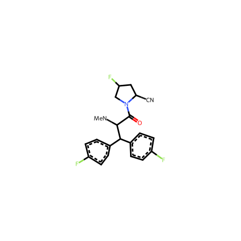 CNC(C(=O)N1CC(F)CC1C#N)C(c1ccc(F)cc1)c1ccc(F)cc1